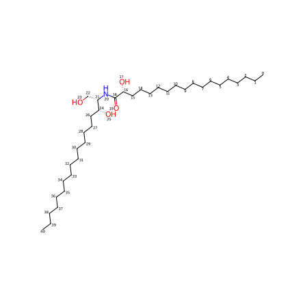 CCCCCCCCCCCCCCCC[C@@H](O)C(=O)N[C@@H](CO)[C@H](O)CCCCCCCCCCCCCCC